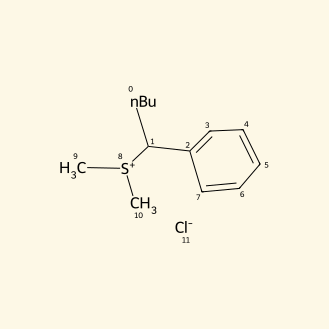 CCCCC(c1ccccc1)[S+](C)C.[Cl-]